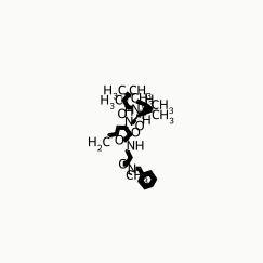 C=CCCC(NC(=O)[C@@H]1[C@@H]2[C@H](CN1C(=O)[C@@H](C)C(C)(C)C)C2(C)C)C(=O)C(=O)NCCC(=O)N(C)Cc1ccccc1